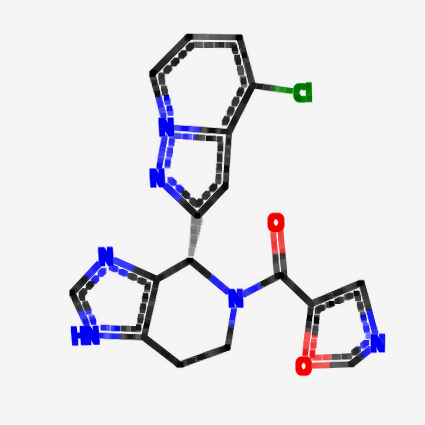 O=C(c1cnco1)N1CCc2[nH]cnc2[C@@H]1c1cc2c(Cl)cccn2n1